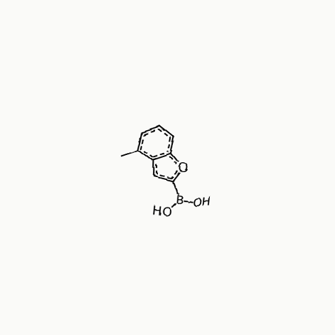 Cc1cccc2oc(B(O)O)cc12